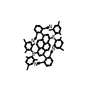 Cc1cc(C)c(B(c2c(C)cc(C)cc2C)c2cc(-c3c(C#N)cccc3C#N)c3ccc4c(B(c5c(C)cc(C)cc5C)c5c(C)cc(C)cc5C)cc(-c5c(C#N)cccc5C#N)c5ccc2c3c45)c(C)c1